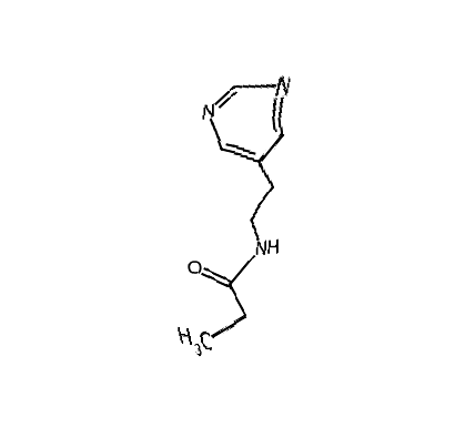 CCC(=O)NCCc1cncnc1